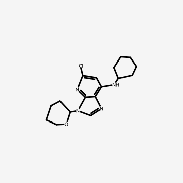 Clc1cc(NC2CCCCC2)c2ncn(C3CCCCO3)c2n1